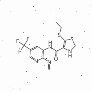 C=Nc1ncc(C(F)(F)F)cc1NC(=O)C1=C(SCC)SCN1